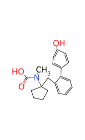 CN(C(=O)O)C1(Cc2ccccc2-c2ccc(O)cc2)CCCC1